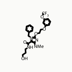 CNc1nc(OCCOc2cccc(OC(F)(F)F)c2)n(Cc2ccccc2)c1C(=O)NCCCO